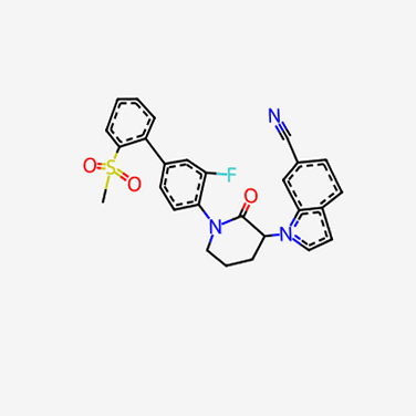 CS(=O)(=O)c1ccccc1-c1ccc(N2CCCC(n3ccc4ccc(C#N)cc43)C2=O)c(F)c1